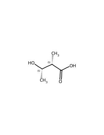 C[C@H](O)[C@H](C)C(=O)O